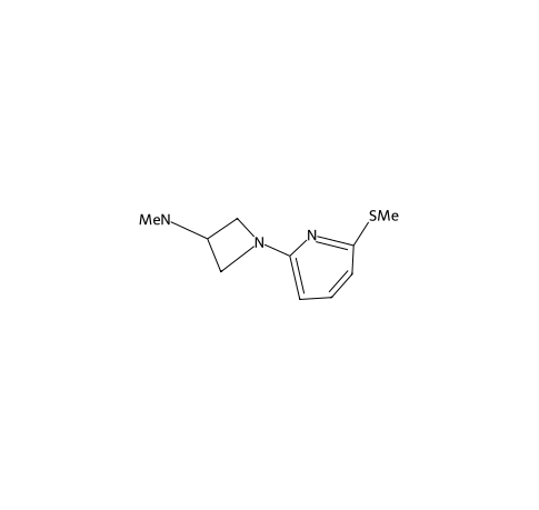 CNC1CN(c2cccc(SC)n2)C1